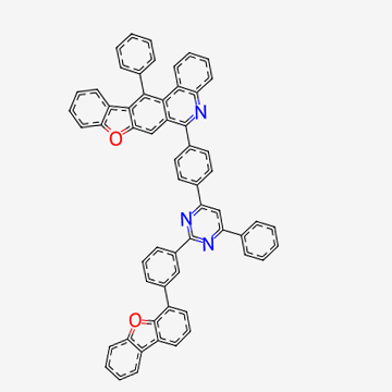 c1ccc(-c2cc(-c3ccc(-c4nc5ccccc5c5c(-c6ccccc6)c6c(cc45)oc4ccccc46)cc3)nc(-c3cccc(-c4cccc5c4oc4ccccc45)c3)n2)cc1